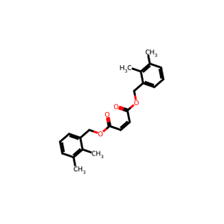 Cc1cccc(COC(=O)/C=C\C(=O)OCc2cccc(C)c2C)c1C